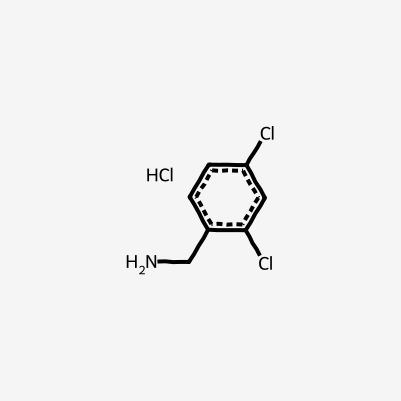 Cl.NCc1ccc(Cl)cc1Cl